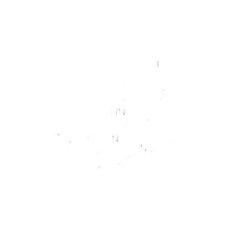 Fc1ccc(Nc2c(-c3ccccc3Cl)nc3scc(-c4ccccc4)n23)cc1